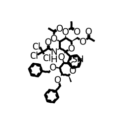 CC(=O)OC[C@H]1O[C@](O[C@@H]2[C@H](OCc3ccccc3)[C@@H](OCc3ccccc3)[C@H](C)O[C@H]2S)(c2ccccc2)[C@H](NC(=O)C(Cl)(Cl)Cl)[C@@H](OC(C)=O)[C@@H]1OC(C)=O